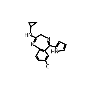 Clc1ccc2c(c1)C(c1ccc[nH]1)=NCC(NC1CC1)=N2